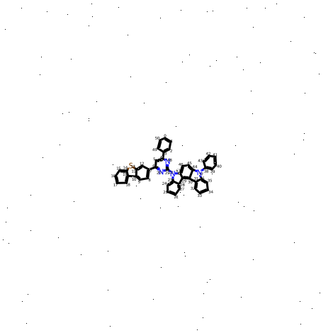 c1ccc(-c2cc(-c3ccc4c(c3)sc3ccccc34)nc(-n3c4ccccc4c4c5c6ccccc6n(-c6ccccc6)c5ccc43)n2)cc1